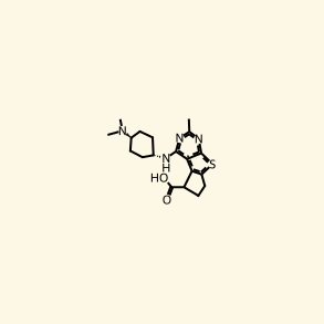 Cc1nc(N[C@H]2CC[C@H](N(C)C)CC2)c2c3c(sc2n1)CCC3C(=O)O